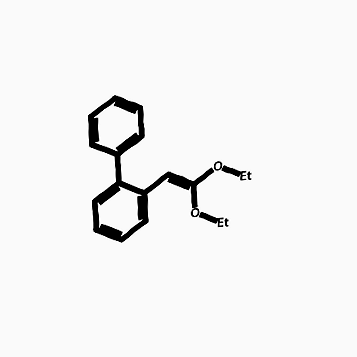 CCOC(=Cc1ccccc1-c1ccccc1)OCC